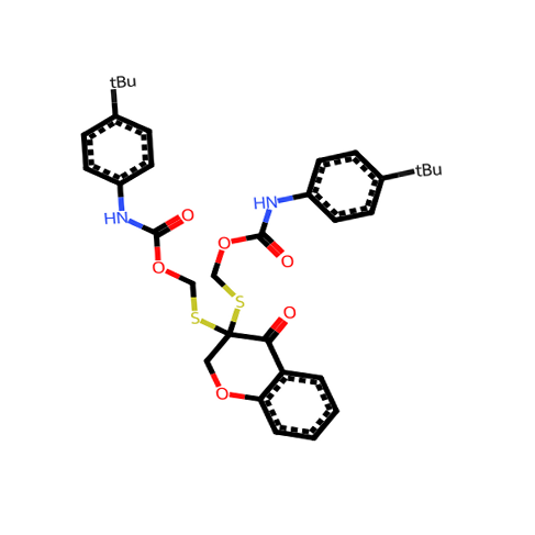 CC(C)(C)c1ccc(NC(=O)OCSC2(SCOC(=O)Nc3ccc(C(C)(C)C)cc3)COc3ccccc3C2=O)cc1